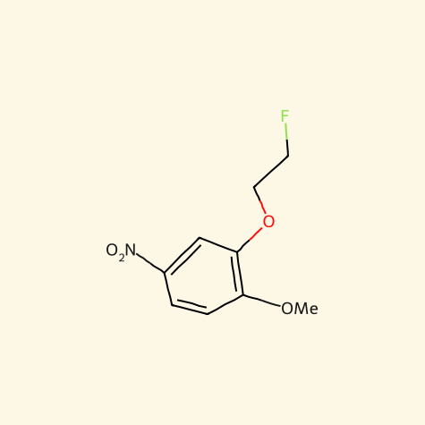 COc1ccc([N+](=O)[O-])cc1OCCF